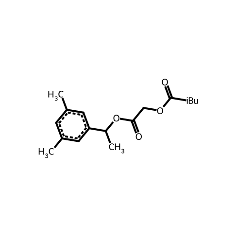 CCC(C)C(=O)OCC(=O)OC(C)c1cc(C)cc(C)c1